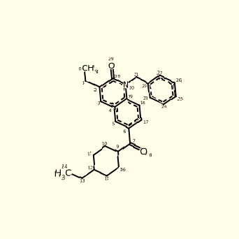 CCc1cc2cc(C(=O)C3CCC(CC)CC3)ccc2n(Cc2ccccc2)c1=O